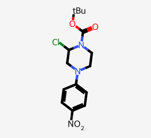 CC(C)(C)OC(=O)N1CCN(c2ccc([N+](=O)[O-])cc2)CC1Cl